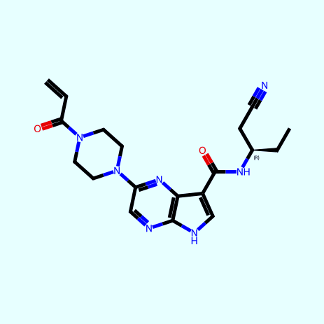 C=CC(=O)N1CCN(c2cnc3[nH]cc(C(=O)N[C@H](CC)CC#N)c3n2)CC1